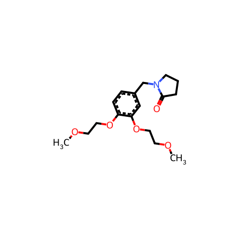 COCCOc1ccc(CN2CCCC2=O)cc1OCCOC